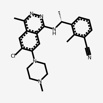 Cc1c(C#N)cccc1[C@@H](C)Nc1nnc(C)c2cc(Cl)c(N3CCN(C)CC3)cc12